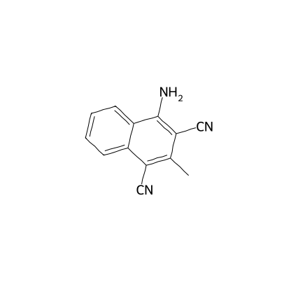 Cc1c(C#N)c(N)c2ccccc2c1C#N